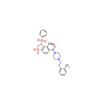 COc1c(C(=O)N2CCN(CCc3ccccc3C(F)(F)F)CC2)ccc2c1C(S(=O)(=O)c1ccccc1)CS2(=O)=O